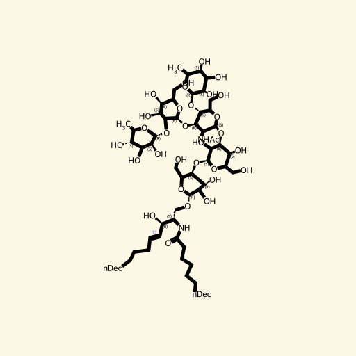 CCCCCCCCCCCCC/C=C/[C@@H](O)[C@H](CO[C@@H]1OC(CO)[C@@H](O[C@@H]2OC(CO)[C@H](O)[C@H](O[C@@H]3OC(CO)[C@@H](O[C@H]4OC(C)[C@@H](O)C(O)[C@@H]4O)[C@H](O[C@@H]4OC(CO)[C@H](O)[C@H](O)C4O[C@H]4OC(C)[C@@H](O)C(O)[C@@H]4O)C3NC(C)=O)C2O)[C@H](O)C1O)NC(=O)CCCCCCCCCCCCCCC